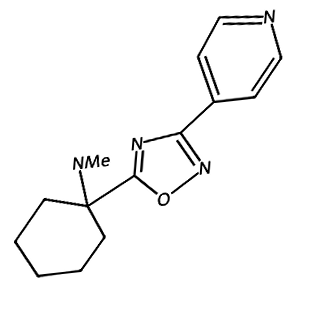 CNC1(c2nc(-c3ccncc3)no2)CCCCC1